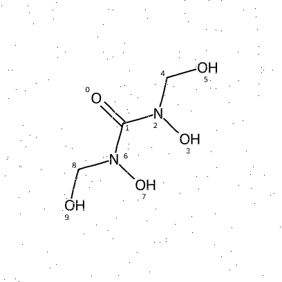 O=C(N(O)CO)N(O)CO